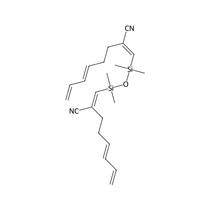 C=CC=CCCC(C#N)=C[Si](C)(C)O[Si](C)(C)C=C(C#N)CCC=CC=C